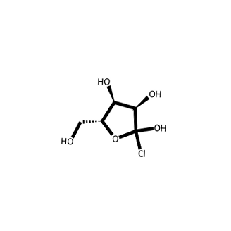 OC[C@H]1OC(O)(Cl)[C@H](O)[C@@H]1O